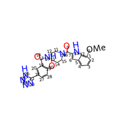 COc1cccc2cc(C(=O)N3CCC4(CC3)NC(=O)c3cc(-c5nnn[nH]5)ccc3O4)[nH]c12